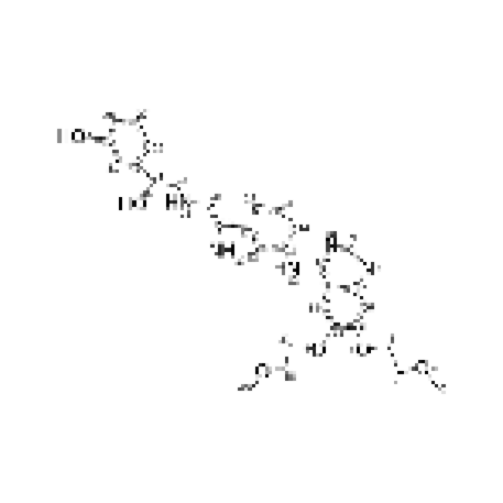 COCCOc1cc2ncnc(Nc3cccc(/C(N)=C/NCC(O)c4cccc(O)c4)c3)c2cc1OCCOC